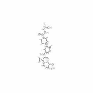 Cc1ccc(NC(=O)C2(c3ccc4c(c3)OCO4)CC2)cc1-c1ccc(C(=O)NC[C@@H](C)O)cc1